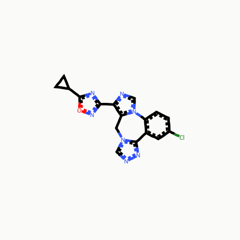 Clc1ccc2c(c1)-c1nncn1Cc1c(-c3noc(C4CC4)n3)ncn1-2